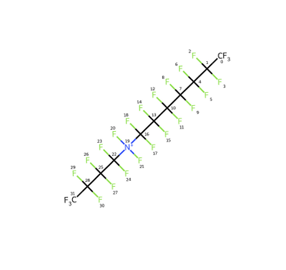 FC(F)(F)C(F)(F)C(F)(F)C(F)(F)C(F)(F)C(F)(F)C(F)(F)[N+](F)(F)C(F)(F)C(F)(F)C(F)(F)C(F)(F)F